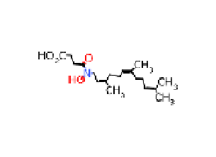 CC(C)=CCCC(C)=CCCC(C)=CCN(O)C(=O)CCC(=O)O